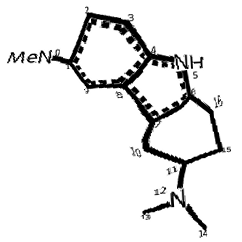 CNc1ccc2[nH]c3c(c2c1)CC(N(C)C)CC3